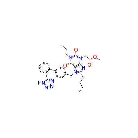 CCCCc1nc2c(c(=O)n(CCC)c(=O)n2CC(=O)OC)n1Cc1ccc(-c2ccccc2-c2nnn[nH]2)cc1